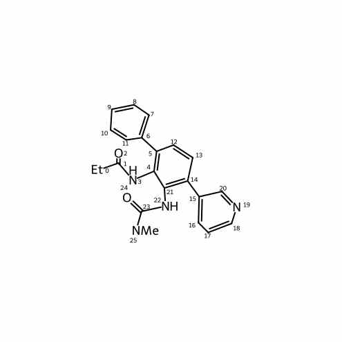 CCC(=O)Nc1c(-c2ccccc2)ccc(-c2cccnc2)c1NC(=O)NC